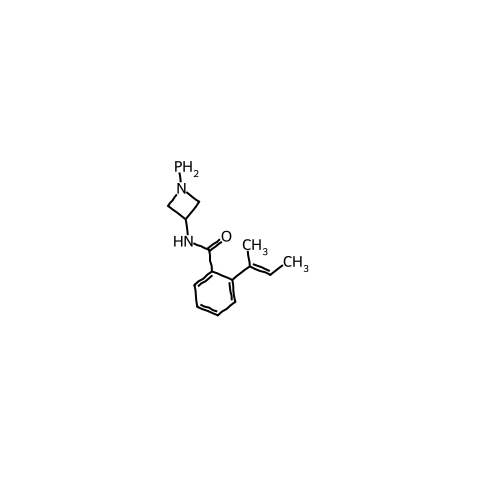 C/C=C(\C)c1ccccc1C(=O)NC1CN(P)C1